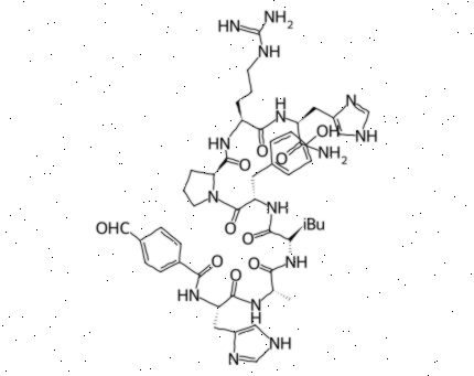 CC[C@H](C)[C@H](NC(=O)[C@H](C)NC(=O)[C@H](Cc1c[nH]cn1)NC(=O)c1ccc(C=O)cc1)C(=O)N[C@@H](Cc1ccc(O)cc1)C(=O)N1CCC[C@H]1C(=O)N[C@@H](CCCNC(=N)N)C(=O)N[C@@H](Cc1c[nH]cn1)C(N)=O